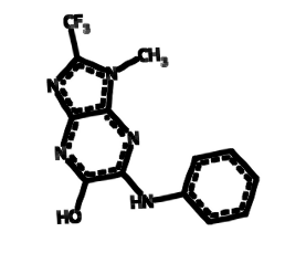 Cn1c(C(F)(F)F)nc2nc(O)c(Nc3ccccc3)nc21